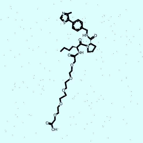 CCCC[C@H](NC(=O)COCCOCCOCCOCCOCC(=O)O)C(=O)N1CCC[C@H]1C(=O)NCc1ccc(-c2scnc2C)cc1